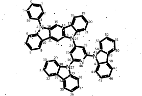 c1ccc(-n2c3ccccc3c3cc4c(cc32)c2ccccc2n4-c2cc(-n3c4ccccc4c4ccccc43)nc(-n3c4ccccc4c4ccccc43)c2)cc1